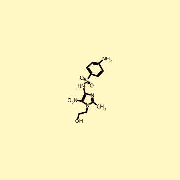 Cc1nc(NS(=O)(=O)c2ccc(N)cc2)c([N+](=O)[O-])n1CCO